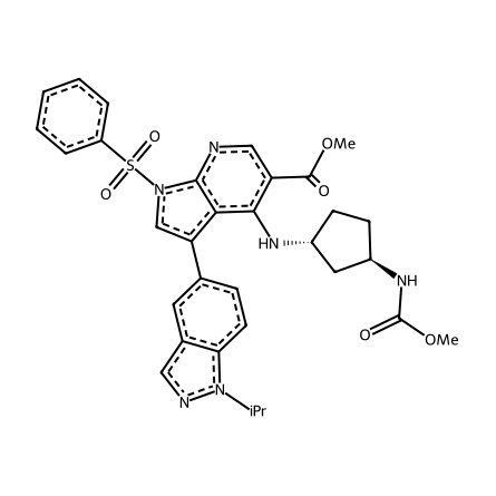 COC(=O)N[C@@H]1CC[C@@H](Nc2c(C(=O)OC)cnc3c2c(-c2ccc4c(cnn4C(C)C)c2)cn3S(=O)(=O)c2ccccc2)C1